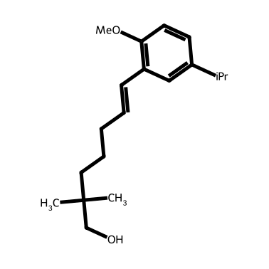 COc1ccc(C(C)C)cc1/C=C/CCCC(C)(C)CO